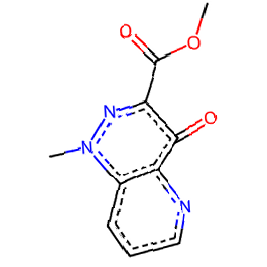 COC(=O)c1nn(C)c2cccnc2c1=O